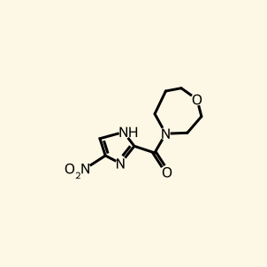 O=C(c1nc([N+](=O)[O-])c[nH]1)N1CCCOCC1